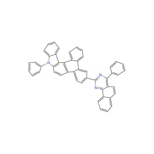 c1ccc(-c2nc(-c3ccc4c(c3)c3ccccc3c3c4ccc4c3c3ccccc3n4-c3ccccc3)nc3c2ccc2ccccc23)cc1